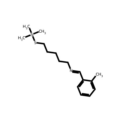 Cc1ccccc1C=NCCCCCS[Si](C)(C)C